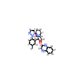 Cc1ccc(-n2nccn2)c(C(=O)N2C3CCC2C(COc2cnc4ccccc4n2)C3)c1